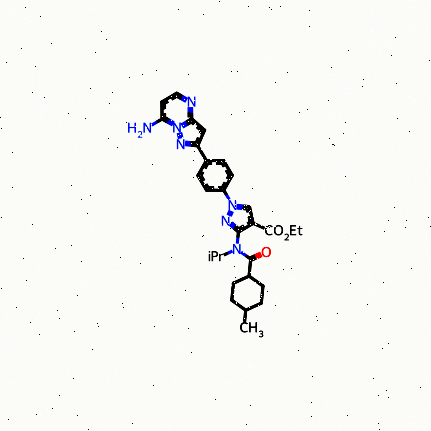 CCOC(=O)c1cn(-c2ccc(-c3cc4nccc(N)n4n3)cc2)nc1N(C(=O)C1CCC(C)CC1)C(C)C